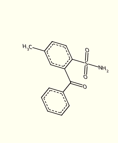 Cc1ccc(S(N)(=O)=O)c(C(=O)c2ccccc2)c1